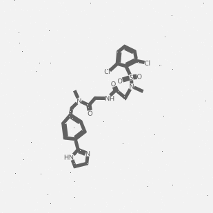 CN(Cc1ccc(C2=NCCN2)cc1)C(=O)CNC(=O)CN(C)S(=O)(=O)c1c(Cl)cccc1Cl